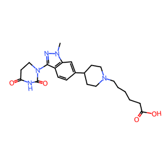 Cn1nc(N2CCC(=O)NC2=O)c2ccc(C3CCN(CCCCCC(=O)O)CC3)cc21